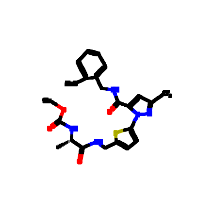 COc1ccccc1CNC(=O)c1cc(C(F)(F)F)nn1-c1ccc(CNC(=O)[C@H](C)NC(=O)OC(C)(C)C)s1